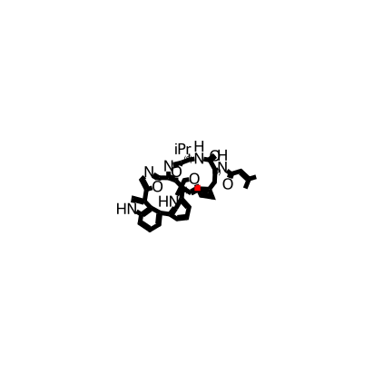 CC(C)=CC(=O)N[C@H]1Cc2ccc3c(c2)[C@]24c5cccc(c5NC2O3)-c2cccc3[nH]cc(c23)-c2cnc(o2)-c2nc(oc24)[C@H](C(C)C)NC1=O